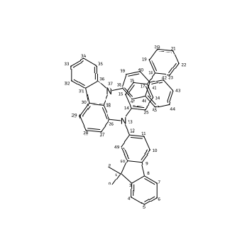 CC1(C)c2ccccc2-c2ccc(N(c3ccc(-c4ccccc4)cc3)c3cccc4c5ccccc5n(-c5ccc6ccccc6c5)c34)cc21